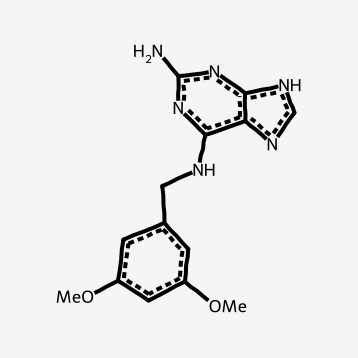 COc1cc(CNc2nc(N)nc3[nH]cnc23)cc(OC)c1